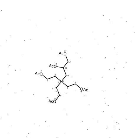 CC(=O)OCC[N+](CCOC(C)=O)(CCOC(C)=O)CC(COC(C)=O)OC(C)=O